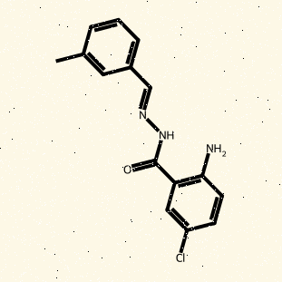 Cc1cccc(C=NNC(=O)c2cc(Cl)ccc2N)c1